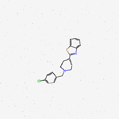 Clc1ccc(CN2CC=C(c3nc4ccccc4s3)CC2)cc1